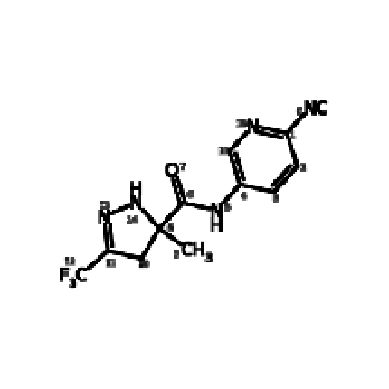 [C-]#[N+]c1ccc(NC(=O)C2(C)CC(C(F)(F)F)=NN2)cn1